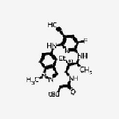 C#Cc1cc(F)c(NC(C)[C@H](CC)CNC(=O)CC(C)(C)C)nc1Nc1ccc2c(cnn2C)c1